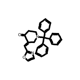 O=C1CCN(C(c2ccccc2)(c2ccccc2)c2ccccc2)C/C1=C\c1ncco1